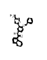 NC1=NN=C(c2cc(NC(=O)c3cccc4ccccc34)ccc2OCc2ccccc2)CS1